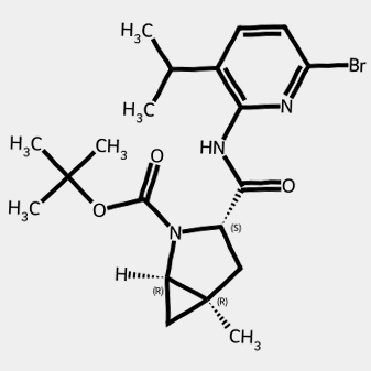 CC(C)c1ccc(Br)nc1NC(=O)[C@@H]1C[C@@]2(C)C[C@H]2N1C(=O)OC(C)(C)C